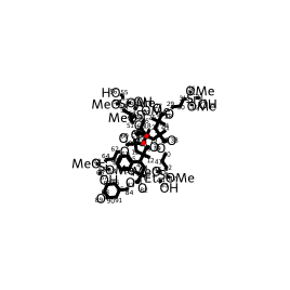 CCC(C)(CC(c1ccccc1)C(C)(CC(C)(CC(C)(CC(C)(CC(C)(C)C(=O)OCCC[Si](CO)(OC)OC)C(=O)OCCC[Si](CO)(OC)OC)C(=O)OCCC[Si](CO)(OC)OC)C(=O)OCCC[Si](CO)(OC)OC)C(=O)OCCC[Si](CO)(OC)OC)C(=O)OCC1CCC2OC2C1